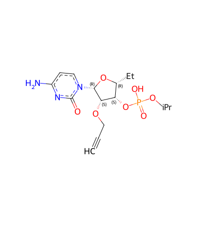 C#CCO[C@H]1[C@@H](OP(=O)(O)OC(C)C)[C@@H](CC)O[C@H]1n1ccc(N)nc1=O